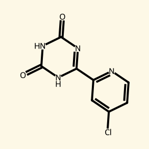 O=c1nc(-c2cc(Cl)ccn2)[nH]c(=O)[nH]1